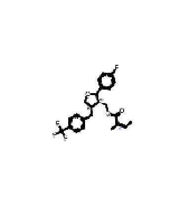 C/C=C(/C)C(=O)OC[C@@H]1C(c2ccc(F)cc2)OC[C@@H]1Cc1ccc(C(F)(F)F)cc1